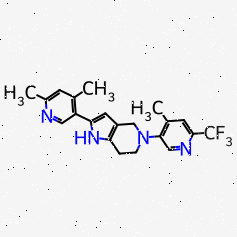 Cc1cc(C)c(-c2cc3c([nH]2)CCN(c2cnc(C(F)(F)F)cc2C)C3)cn1